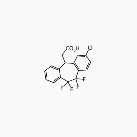 O=C(O)CC1c2ccccc2C(F)(F)C(F)(F)c2ccc(Cl)cc21